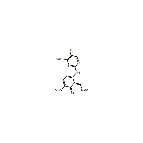 CN/C=C1\C(=N)C(OC)=CC=C1Nc1ncc(C(F)(F)F)c(NC)n1